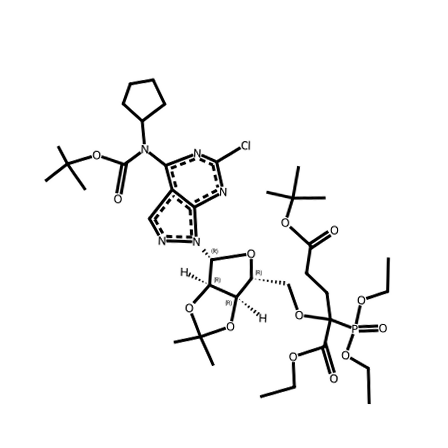 CCOC(=O)C(CCC(=O)OC(C)(C)C)(OC[C@H]1O[C@@H](n2ncc3c(N(C(=O)OC(C)(C)C)C4CCCC4)nc(Cl)nc32)[C@@H]2OC(C)(C)O[C@@H]21)P(=O)(OCC)OCC